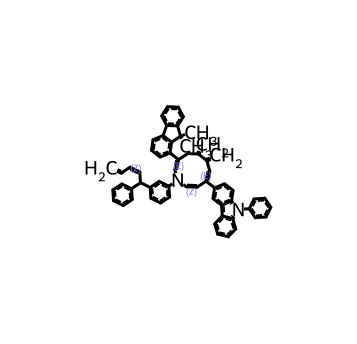 C=C/C=C\C(c1ccccc1)c1cccc(N2/C=C\C(c3ccc4c(c3)c3ccccc3n4-c3ccccc3)=C/C(=C)C(=C)C/C(c3cccc4c3C(C)(C)c3ccccc3-4)=C\2)c1